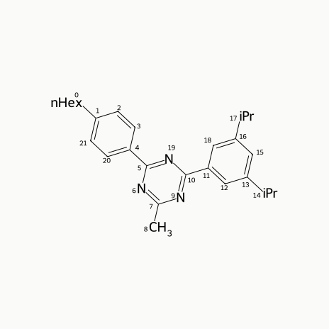 CCCCCCc1ccc(-c2nc(C)nc(-c3cc(C(C)C)cc(C(C)C)c3)n2)cc1